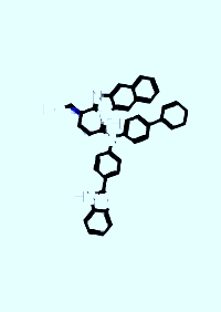 C=C(/C=C\C(=C/C)c1nc2cc3ccccc3cc2o1)N(c1ccc(C2=CCCC=C2)cc1)c1ccc(C2Nc3ccccc3O2)cc1